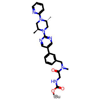 C[C@@H]1CN(c2ncc(-c3cccc(CN(C)C(=O)CNC(=O)OC(C)(C)C)c3)cn2)[C@@H](C)CN1c1ccccn1